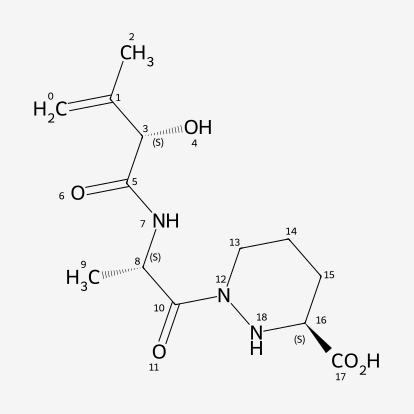 C=C(C)[C@H](O)C(=O)N[C@@H](C)C(=O)N1CCC[C@@H](C(=O)O)N1